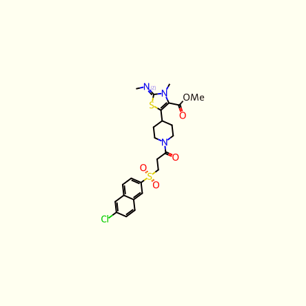 C/N=c1\sc(C2CCN(C(=O)CCS(=O)(=O)c3ccc4cc(Cl)ccc4c3)CC2)c(C(=O)OC)n1C